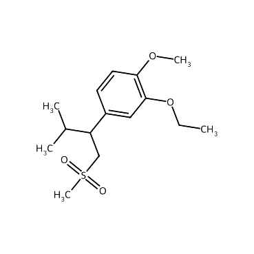 CCOc1cc(C(CS(C)(=O)=O)C(C)C)ccc1OC